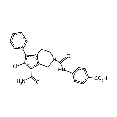 NC(=O)c1c(Cl)c(-c2ccccc2)n2c1CN(C(=O)Nc1ccc(C(=O)O)cc1)CC2